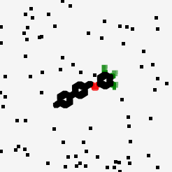 Cc1ccc(-c2ccc(COc3cc(F)c(F)c(F)c3)cc2)cc1